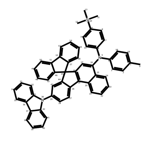 Cc1ccc(N(c2ccc([Si](C)(C)C)cc2)c2cc3c(c4ccccc24)-c2ccc(-n4c5ccccc5c5ccccc54)cc2C32c3ccccc3-c3ccccc32)cc1